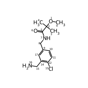 COC(C)(C)C(=O)NCc1ccc(Cl)c(CN)c1